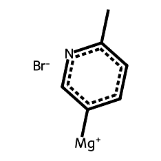 Cc1cc[c]([Mg+])cn1.[Br-]